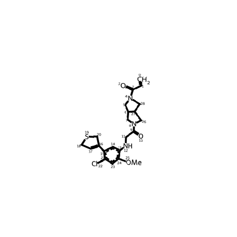 C=CC(=O)N1CC2CN(C(=O)CNc3cc(C4=CCSC4)c(Cl)cc3OC)CC2C1